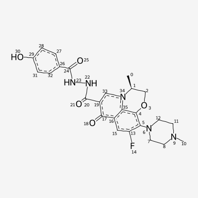 C[C@H]1COc2c(N3CCN(C)CC3)c(F)cc3c(=O)c(C(=O)NNC(=O)c4ccc(O)cc4)cn1c23